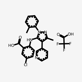 Cc1ccccc1-n1nc(C)c(-c2cccnc2)c1Nc1ccc(Cl)cc1C(=O)O.O=C(O)C(F)(F)F